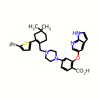 CC(C)c1ccc(C2=C(CN3CCN(c4ccc(C(=O)O)c(Oc5cnc6[nH]ccc6c5)c4)CC3)CCC(C)(C)C2)s1